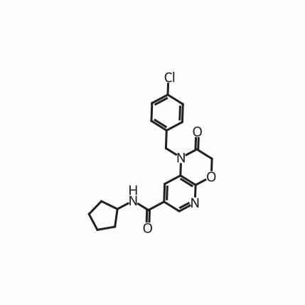 O=C(NC1CCCC1)c1cnc2c(c1)N(Cc1ccc(Cl)cc1)C(=O)CO2